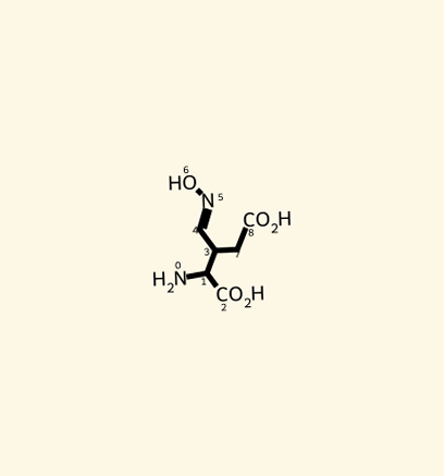 NC(C(=O)O)C(C=NO)CC(=O)O